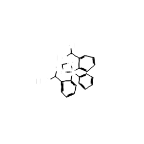 CC(C)c1ccccc1P1(c2ccccc2)(c2ccccc2C(C)C)OCO1